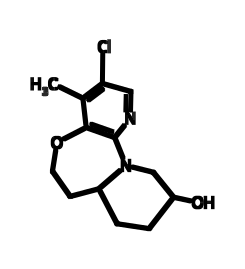 Cc1c(Cl)cnc2c1OCCC1CCC(O)CN21